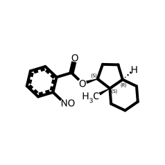 C[C@]12CCCC[C@@H]1CC[C@@H]2OC(=O)c1ccccc1N=O